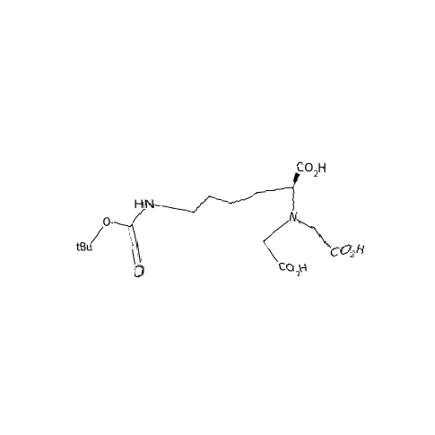 CC(C)(C)OC(=O)NCCCC[C@@H](C(=O)O)N(CC(=O)O)CC(=O)O